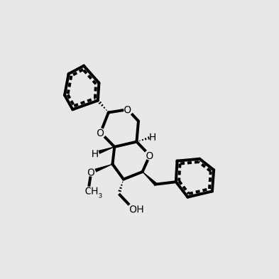 CO[C@@H]1[C@@H](CO)[C@H](Cc2ccccc2)O[C@@H]2CO[C@@H](c3ccccc3)O[C@@H]12